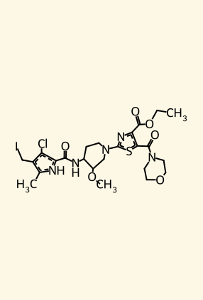 CCOC(=O)c1nc(N2CCC(NC(=O)c3[nH]c(C)c(CI)c3Cl)C(OC)C2)sc1C(=O)N1CCOCC1